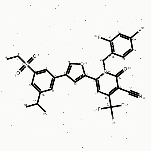 CCS(=O)(=O)c1cc(-c2coc(-c3cc(C(F)(F)F)c(C#N)c(=O)n3Cc3ccc(F)cc3F)c2)cc(C(C)C)c1